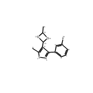 Cc1snc(-c2cccc(F)c2)c1C1OC(C)O1